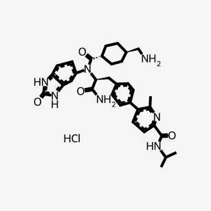 Cc1nc(C(=O)NC(C)C)ccc1-c1ccc(C[C@@H](C(N)=O)N(c2ccc3[nH]c(=O)[nH]c3c2)C(=O)[C@H]2CC[C@H](CN)CC2)cc1.Cl